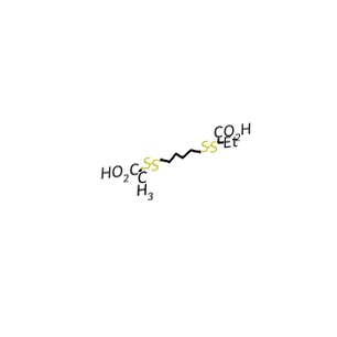 CCC(SSCCCCCCSSC(C)C(=O)O)C(=O)O